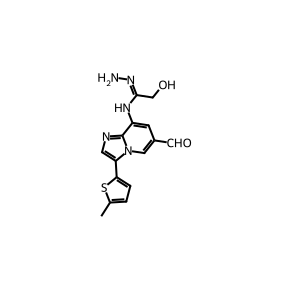 Cc1ccc(-c2cnc3c(N/C(CO)=N\N)cc(C=O)cn23)s1